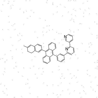 CC1=Cc2ccc(-c3c4ccccc4c(-c4cccc(-c5cccc(-c6cccnc6)n5)c4)c4ccccc34)cc2CC1